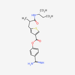 CC(Cc1cc(C(=O)Oc2ccc(C(=N)N)cc2)cs1)C(=O)N[C@@H](CC(=O)O)C(=O)O